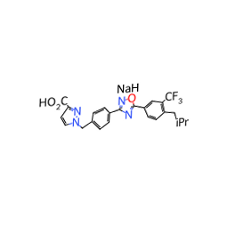 CC(C)Cc1ccc(-c2nc(-c3ccc(Cn4ccc(C(=O)O)n4)cc3)no2)cc1C(F)(F)F.[NaH]